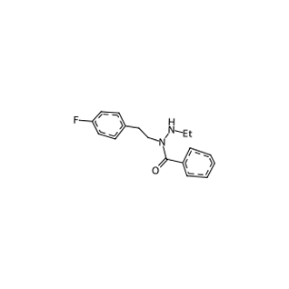 CCNN(CCc1ccc(F)cc1)C(=O)c1ccccc1